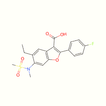 CCc1cc2c(C(=O)O)c(-c3ccc(F)cc3)oc2cc1N(C)S(C)(=O)=O